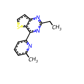 CCc1nc(-c2cccc(C)n2)c2sccc2n1